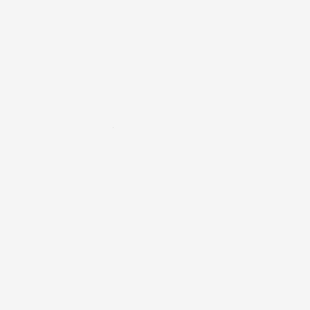 ClC=Cc1ccc(Cl)cc1